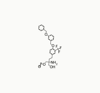 NC(CO)(CCc1ccc(OCc2cccc(OCc3ccccc3)c2)c(C(F)(F)F)c1)COP=O